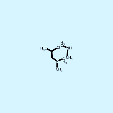 CC(Cl)CN(C)C.CNC